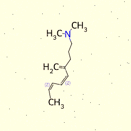 C=C(/C=C\C=C/C)CCCN(C)C